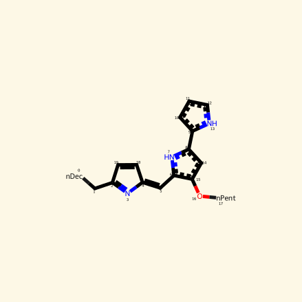 CCCCCCCCCCCC1=N/C(=C/c2[nH]c(-c3ccc[nH]3)cc2OCCCCC)C=C1